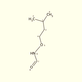 CC(C)CCONC=O